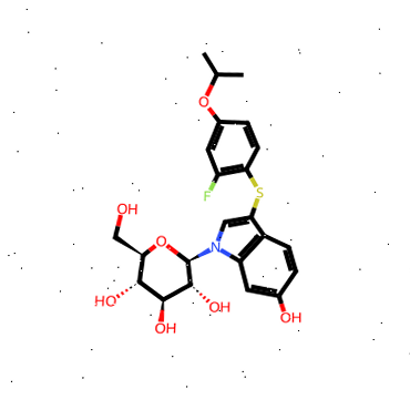 CC(C)Oc1ccc(Sc2cn([C@@H]3O[C@H](CO)[C@@H](O)[C@H](O)[C@H]3O)c3cc(O)ccc23)c(F)c1